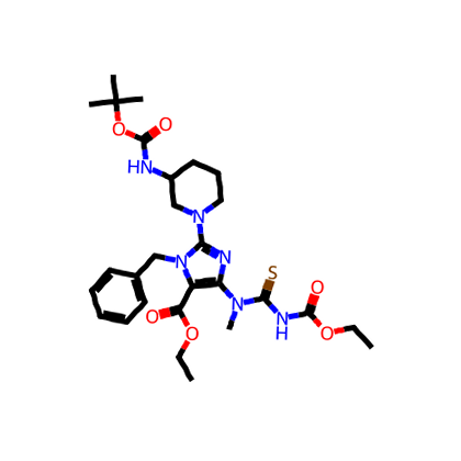 CCOC(=O)NC(=S)N(C)c1nc(N2CCCC(NC(=O)OC(C)(C)C)C2)n(Cc2ccccc2)c1C(=O)OCC